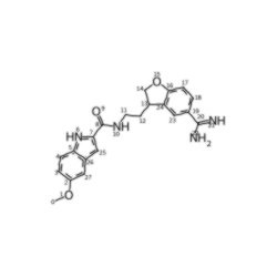 COc1ccc2[nH]c(C(=O)NCCC3COc4ccc(C(=N)N)cc43)cc2c1